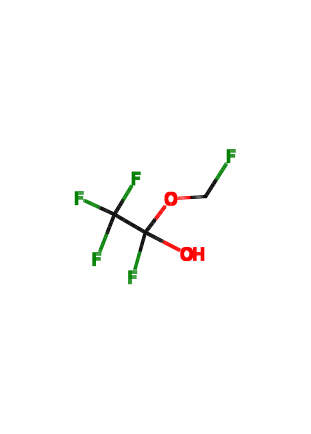 OC(F)(OCF)C(F)(F)F